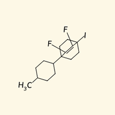 CC1CCC(C23CCC(I)(CC2)C(F)=C3F)CC1